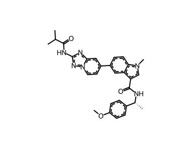 COc1ccc([C@@H](C)NC(=O)c2cn(C)c3ccc(-c4ccn5nc(NC(=O)C(C)C)nc5c4)cc23)cc1